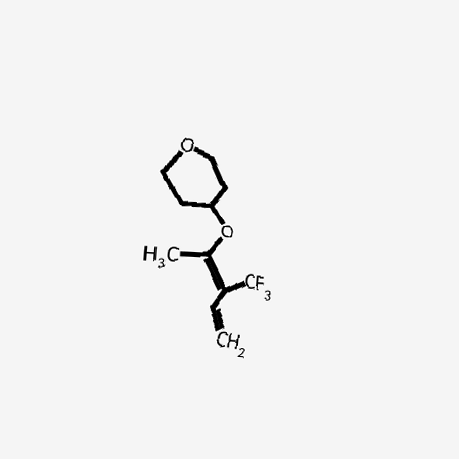 C=C/C(=C(\C)OC1CCOCC1)C(F)(F)F